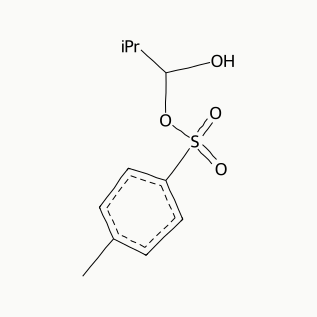 Cc1ccc(S(=O)(=O)OC(O)C(C)C)cc1